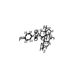 CC(C)C[C@@H](C(N)=O)N(C)[C@@H]1CC[C@H]2CN(S(=O)(=O)c3ccc(F)cc3)C[C@H]21